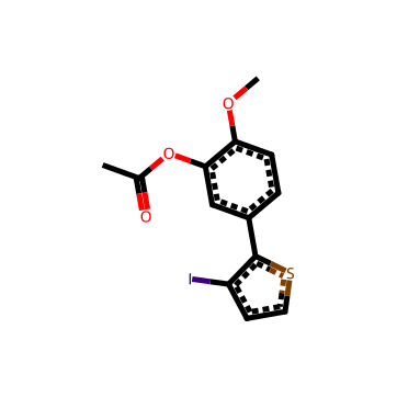 COc1ccc(-c2sccc2I)cc1OC(C)=O